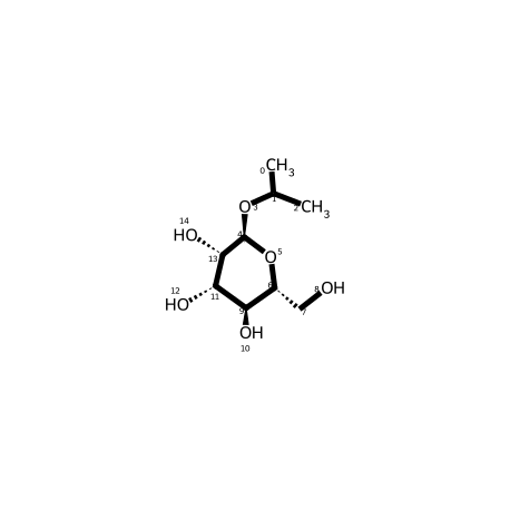 CC(C)O[C@H]1O[C@H](CO)[C@@H](O)[C@H](O)[C@@H]1O